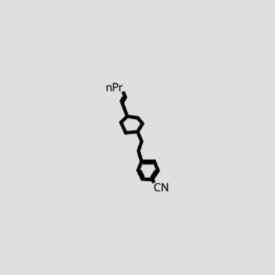 CCCC=CC1CCC(CCc2ccc(C#N)cc2)CC1